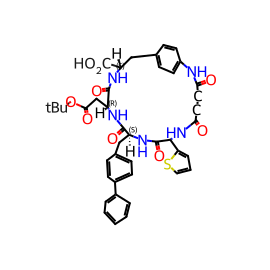 CC(C)(C)OC(=O)C[C@H]1NC(=O)[C@H](Cc2ccc(-c3ccccc3)cc2)NC(=O)C(c2cccs2)NC(=O)CCC(=O)Nc2ccc(cc2)C[C@@H](C(=O)O)NC1=O